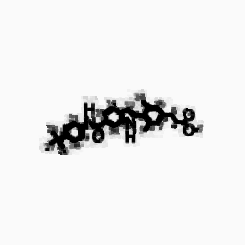 COC(=O)CCc1cc(C)c(-c2cc3ccc(C(=O)Nc4ccc(C(C)(C)C)cc4)cc3[nH]2)c(C)c1